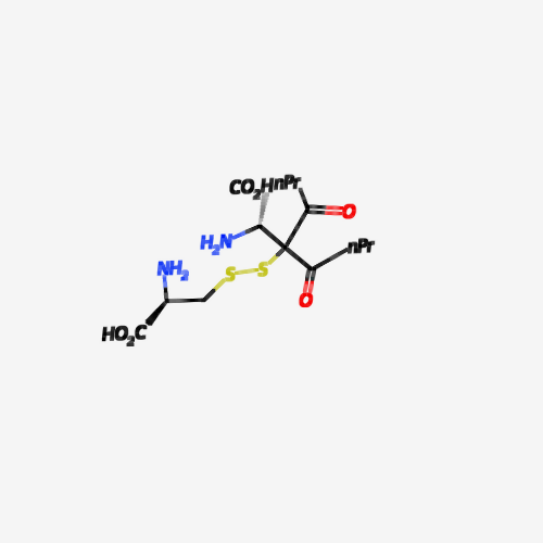 CCCC(=O)C(SSC[C@H](N)C(=O)O)(C(=O)CCC)[C@H](N)C(=O)O